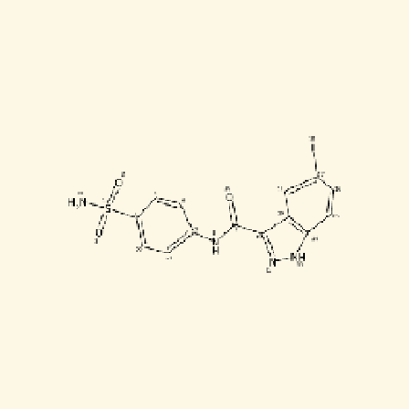 NS(=O)(=O)c1ccc(NC(=O)c2n[nH]c3ccc(I)cc23)cc1